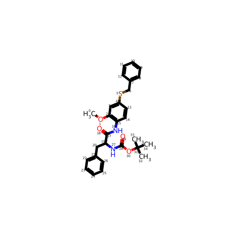 COc1cc(SCc2ccccc2)ccc1NC(=O)C(Cc1ccccc1)NC(=O)OC(C)(C)C